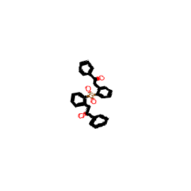 O=C(Cc1ccccc1S(=O)(=O)c1ccccc1CC(=O)c1ccccc1)c1ccccc1